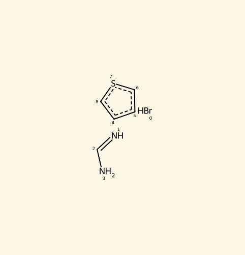 Br.N=CN.c1ccsc1